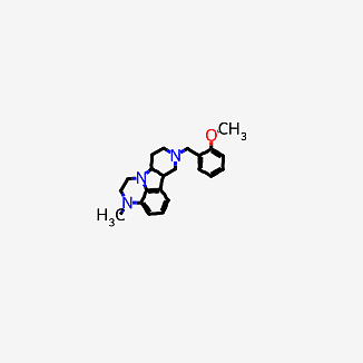 COc1ccccc1CN1CCC2C(C1)c1cccc3c1N2CCN3C